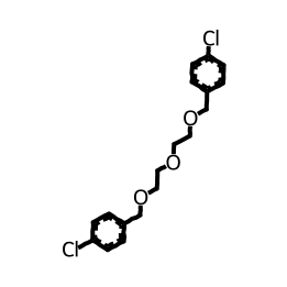 Clc1ccc(COCCOCCOCc2ccc(Cl)cc2)cc1